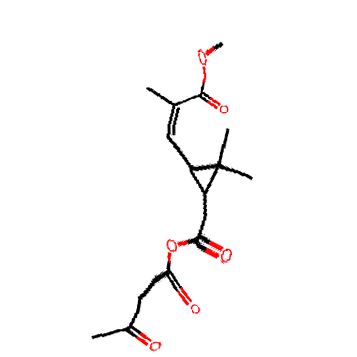 COC(=O)C(C)=CC1C(C(=O)OC(=O)CC(C)=O)C1(C)C